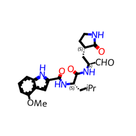 COc1cccc2[nH]c(C(=O)N[C@@H](CC(C)C)C(=O)N[C@H](C=O)C[C@@H]3CCNC3=O)cc12